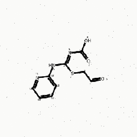 O=CCS/C(=N\C(=O)O)Nc1ccccn1